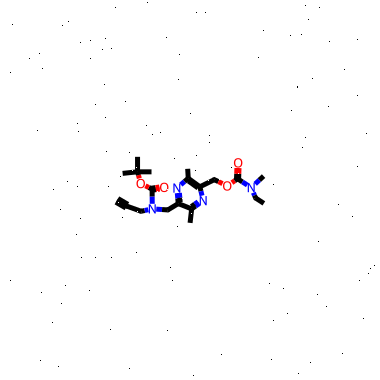 C#CCN(Cc1nc(C)c(COC(=O)N(C)CC)nc1C)C(=O)OC(C)(C)C